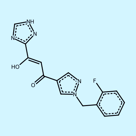 O=C(C=C(O)c1nc[nH]n1)c1cnn(Cc2ccccc2F)c1